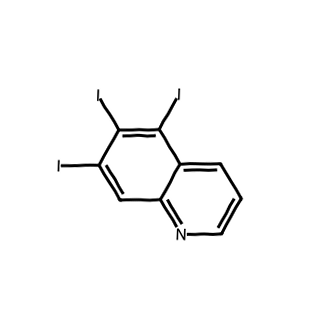 Ic1cc2ncccc2c(I)c1I